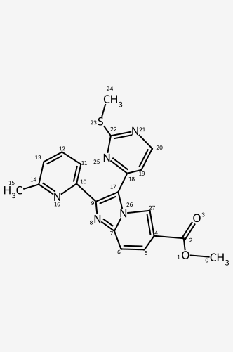 COC(=O)c1ccc2nc(-c3cccc(C)n3)c(-c3ccnc(SC)n3)n2c1